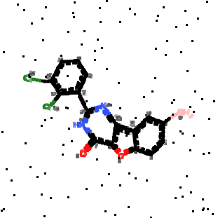 Bc1ccc2oc3c(=O)[nH]c(-c4cccc(Cl)c4Cl)nc3c2c1